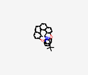 Cc1c2ccc3ccc4ccc5ccc6c(c5c4c13)C([n+]1ccc(C(C)(C)C)cc1O2)[n+]1ccccc1O6